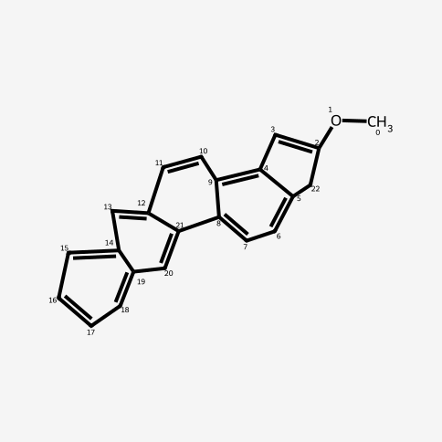 COC1=Cc2c(ccc3c2ccc2cc4ccccc4cc23)C1